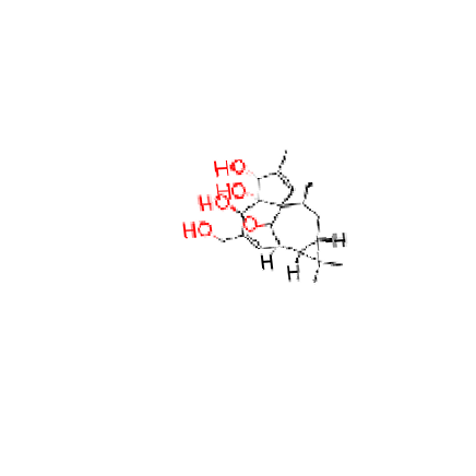 CC1=C[C@@]23C(=O)[C@H](C=C(CO)[C@@H](O)[C@@]2(O)[C@@H]1O)[C@@H]1[C@H](C[C@@H]3C)C1(C)C